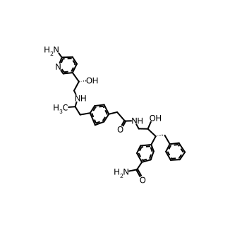 CC(Cc1ccc(CC(=O)NCC(O)[C@H](Cc2ccccc2)c2ccc(C(N)=O)cc2)cc1)NC[C@@H](O)c1ccc(N)nc1